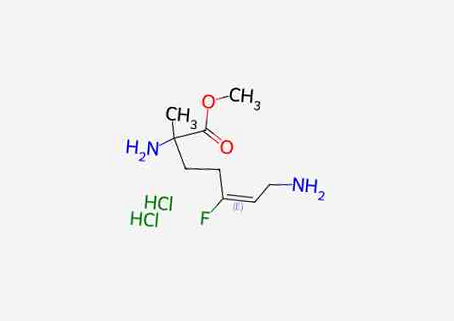 COC(=O)C(C)(N)CC/C(F)=C\CN.Cl.Cl